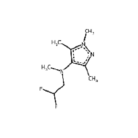 Cc1nn(C)c(C)c1N(C)CC(F)F